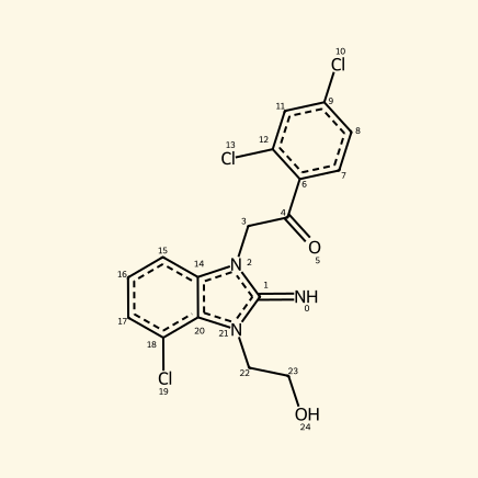 N=c1n(CC(=O)c2ccc(Cl)cc2Cl)c2cccc(Cl)c2n1CCO